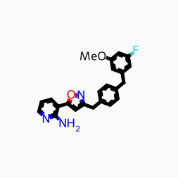 COc1cc(F)cc(Cc2ccc(Cc3cc(-c4cccnc4N)on3)cc2)c1